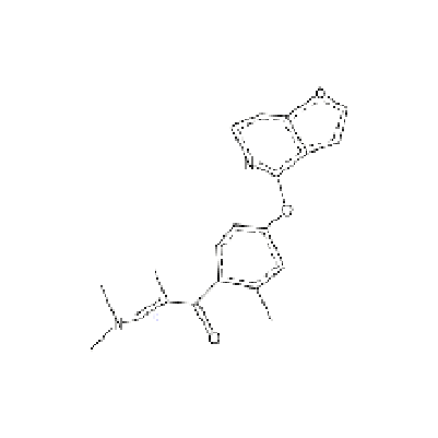 C/C(=C\N(C)C)C(=O)c1ccc(Oc2nccc3occc23)cc1C